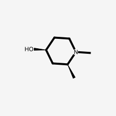 C[C@H]1C[C@@H](O)CCN1C